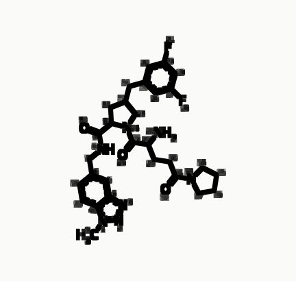 Cn1nnc2cc(CNC(=O)C3CC(Cc4cc(F)cc(F)c4)CN3C(=O)C(N)CCC(=O)N3CCCC3)ccc21